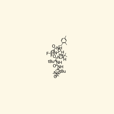 Cc1ccc(CCNC(=O)[C@H](CC(F)F)NC(=O)[C@@H]2[C@@H]3[C@H](CN2C(=O)[C@@H](NC(=O)N[C@H](CN(C)S(C)(=O)=O)C(C)(C)C)C(C)(C)C)C3(C)C)c(C)c1